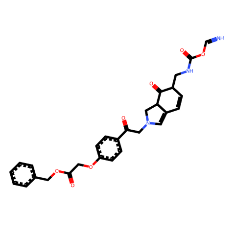 N=COC(=O)NCC1C=CC2=CN(CC(=O)c3ccc(OCC(=O)OCc4ccccc4)cc3)CC2C1=O